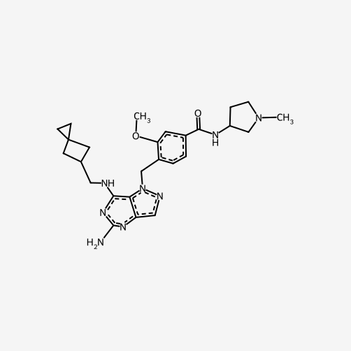 COc1cc(C(=O)NC2CCN(C)C2)ccc1Cn1ncc2nc(N)nc(NCC3CC4(CC4)C3)c21